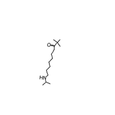 CC(C)NCCCCCCCC(=O)C(C)(C)C